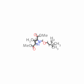 COC(=O)c1nn(COCC[Si](C)(C)C)c(C(=O)OC)c1C